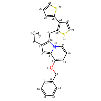 CCc1cc2c(OCc3ccccc3)cccn2c1Cc1sccc1-c1cccs1